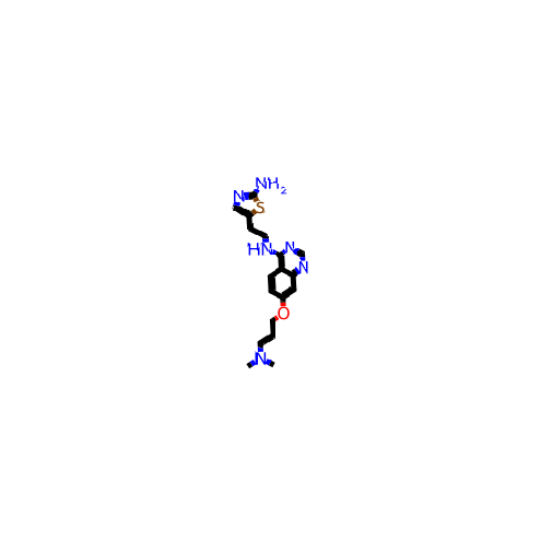 CN(C)CCCOc1ccc2c(NCCc3cnc(N)s3)ncnc2c1